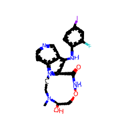 CN1CCn2c(c(Nc3ccc(I)cc3F)c3cnccc32)C(=O)NOCC1O